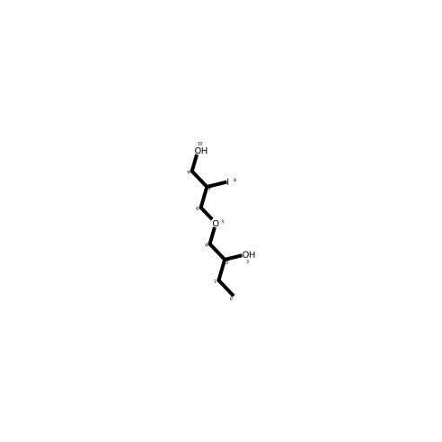 CCC(O)COCC(I)CO